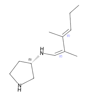 CC/C=C(C)/C(C)=C\N[C@H]1CCNC1